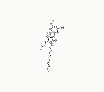 CCCCCCCCCCCOC(=O)C(CCCC(=O)O)(C(C)CCCCC)C(C)CCCCC